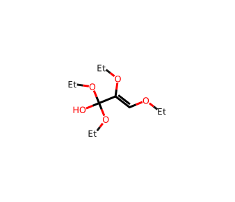 CCO/C=C(\OCC)C(O)(OCC)OCC